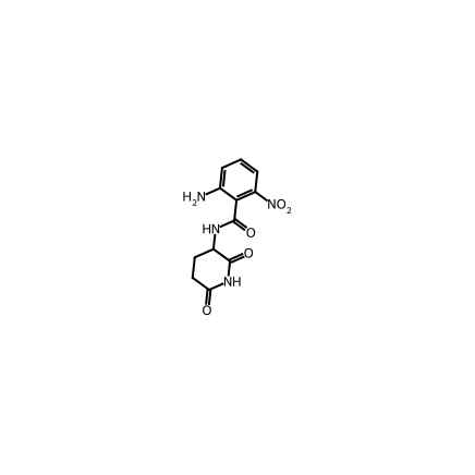 Nc1cccc([N+](=O)[O-])c1C(=O)NC1CCC(=O)NC1=O